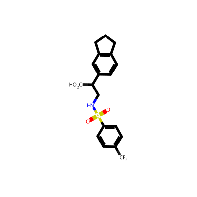 O=C(O)C(CNS(=O)(=O)c1ccc(C(F)(F)F)cc1)c1ccc2c(c1)CCC2